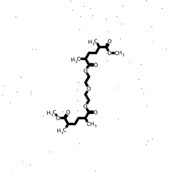 COC(=O)C(C)CCC(C)C(=O)OCCOCCOC(=O)C(C)CCC(C)C(=O)OC